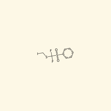 O=S(=O)(c1ccccc1)C(F)(F)SCI